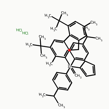 Cl.Cl.[CH2]=[Zr]([C]1=CC=CC1)([c]1ccc(C(C)C)cc1)([c]1ccc(C(C)C)cc1)[c]1c(C)c(C(C)(C)C)cc2c1Cc1cc(C)cc(C(C)(C)C)c1-2